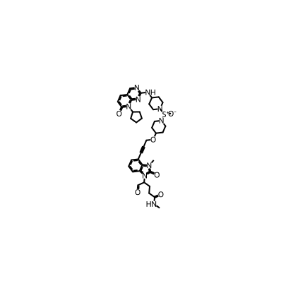 CNC(=O)CCC(C=O)n1c(=O)n(C)c2c(C#CCOC3CCN([S+]([O-])N4CCC(Nc5ncc6ccc(=O)n(C7CCCC7)c6n5)CC4)CC3)cccc21